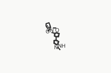 Cc1nc2ccc(-c3ccc4c(c3)CN(C(=O)N3C5CCC3CC5)CCO4)cc2[nH]1